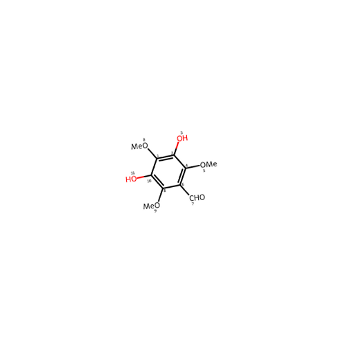 COc1c(O)c(OC)c(C=O)c(OC)c1O